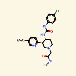 COc1ccc([C@@H]2CN(CC(=O)NC(C)C)CC[C@H]2NC(=O)Nc2ccc(Cl)cc2)nc1